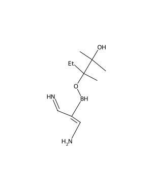 CCC(C)(OB/C(C=N)=C/N)C(C)(C)O